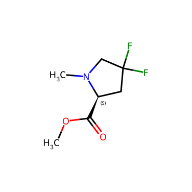 COC(=O)[C@@H]1CC(F)(F)CN1C